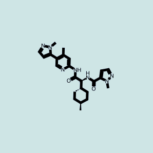 Cc1cc(NC(=O)[C@@H](NC(=O)c2ccnn2C)[C@H]2CC[C@H](C)CC2)ncc1-c1ccnn1C